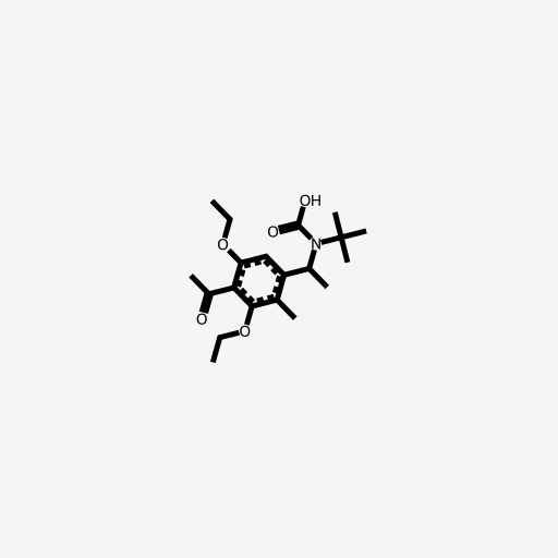 CCOc1cc(C(C)N(C(=O)O)C(C)(C)C)c(C)c(OCC)c1C(C)=O